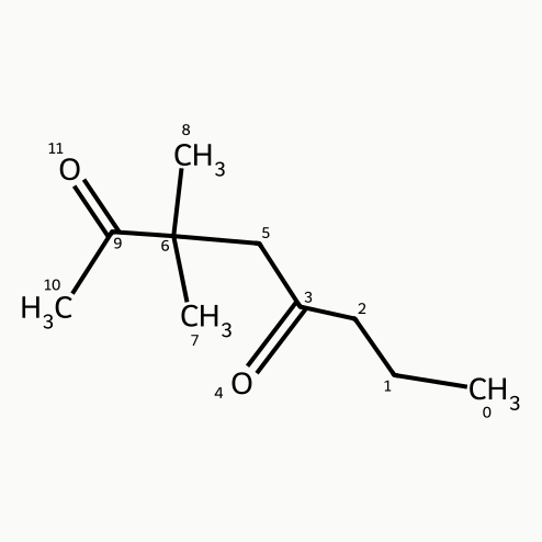 CCCC(=O)CC(C)(C)C(C)=O